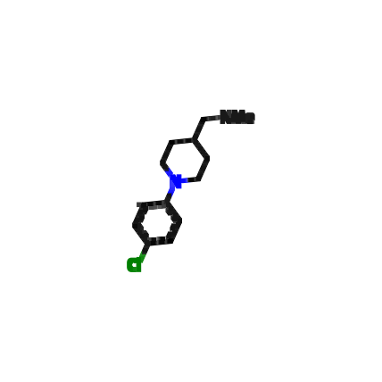 CNCC1CCN(c2[c]cc(Cl)cc2)CC1